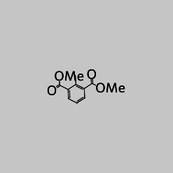 COC(=O)c1cccc(C(=O)OC)c1C